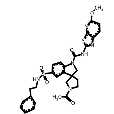 COc1ccc2nc(NC(=O)N3CC4(CCN(C(C)=O)C4)c4cc(S(=O)(=O)NCCc5ccccc5)ccc43)sc2n1